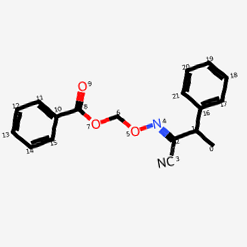 CC(/C(C#N)=N/OCOC(=O)c1ccccc1)c1ccccc1